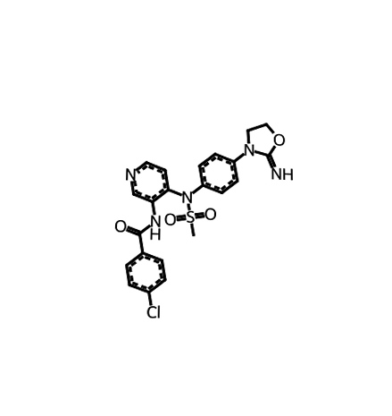 CS(=O)(=O)N(c1ccc(N2CCOC2=N)cc1)c1ccncc1NC(=O)c1ccc(Cl)cc1